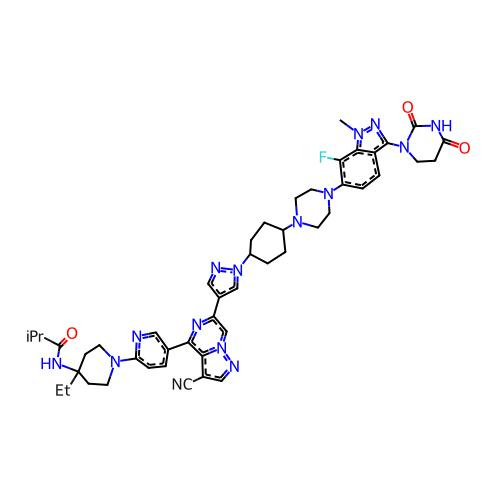 CCC1(NC(=O)C(C)C)CCN(c2ccc(-c3nc(-c4cnn(C5CCC(N6CCN(c7ccc8c(N9CCC(=O)NC9=O)nn(C)c8c7F)CC6)CC5)c4)cn4ncc(C#N)c34)cn2)CC1